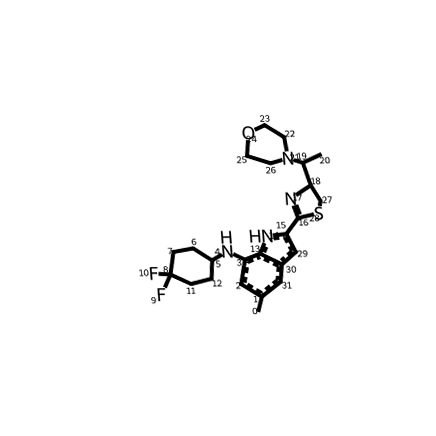 Cc1cc(NC2CCC(F)(F)CC2)c2[nH]c(C3=NC(C(C)N4CCOCC4)CS3)cc2c1